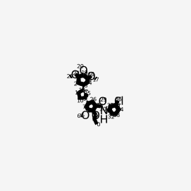 CCOc1c(OC)cc([C@@H]2CC[C@@H](c3cc(OC)c(OC)c(OC)c3)S2)cc1C(=O)Nc1cccc(Cl)c1